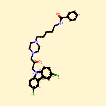 O=C(NCCCCCN1CCN(CC(O)Cn2c3ccc(Br)cc3c3cc(Br)ccc32)CC1)c1ccccc1